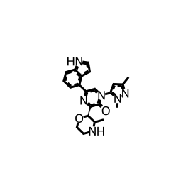 Cc1cc(-n2cc(-c3cccc4[nH]ccc34)nc([C@@H]3OCCNC3C)c2=O)n(C)n1